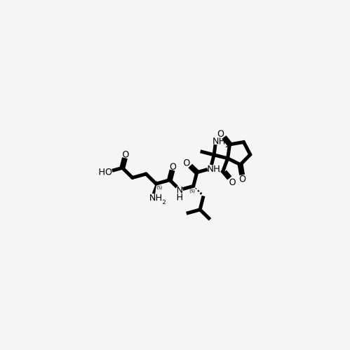 CC(C)C[C@H](NC(=O)[C@@H](N)CCC(=O)O)C(=O)NC(C)(N)C1([C]=O)C(=O)CCC1=O